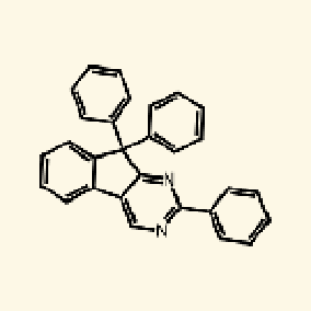 c1ccc(-c2ncc3c(n2)C(c2ccccc2)(c2ccccc2)c2ccccc2-3)cc1